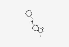 Cc1coc2cc(OCc3ccccc3)ccc12